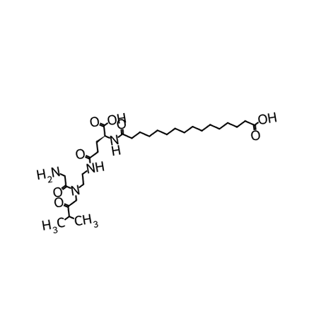 CC(C)C(=O)CN(CCNC(=O)CC[C@H](NC(=O)CCCCCCCCCCCCCCC(=O)O)C(=O)O)C(=O)CN